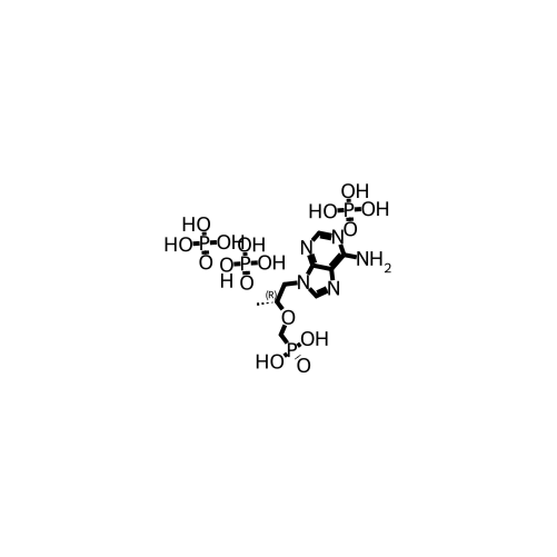 C[C@H](Cn1cnc2c(N)ncnc21)OCP(=O)(O)O.O=P(O)(O)O.O=P(O)(O)O.O=P(O)(O)O